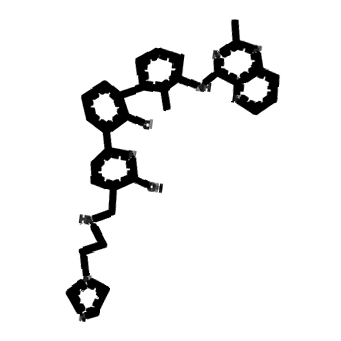 Cc1nc(Nc2cccc(-c3cccc(-c4ccc(CNCCn5ccnc5)c(O)n4)c3Cl)c2C)c2ncccc2n1